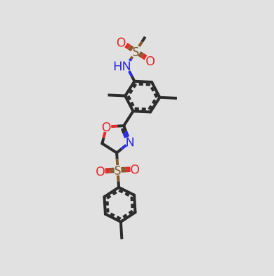 Cc1ccc(S(=O)(=O)C2COC(c3cc(C)cc(NS(C)(=O)=O)c3C)=N2)cc1